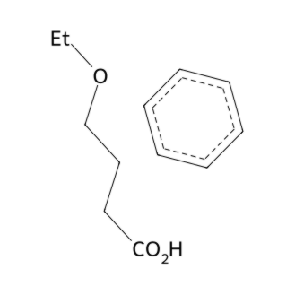 CCOCCCC(=O)O.c1ccccc1